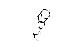 CNC(=O)Nc1nc2c(s1)C1COCC(C2)N1